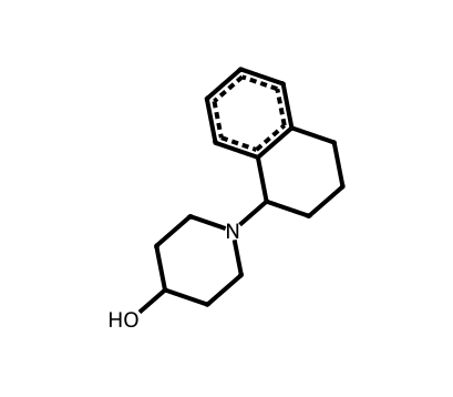 OC1CCN(C2CCCc3ccccc32)CC1